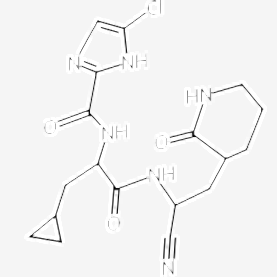 N#CC(CC1CCCNC1=O)NC(=O)C(CC1CC1)NC(=O)c1ncc(Cl)[nH]1